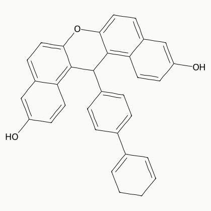 Oc1ccc2c3c(ccc2c1)Oc1ccc2cc(O)ccc2c1C3c1ccc(C2=CCCC=C2)cc1